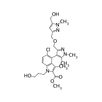 COC(=O)c1c(C)c2c(-c3c(COCc4cc(CO)n(C)n4)nn(C)c3C)c(Cl)ccc2n1CCCO